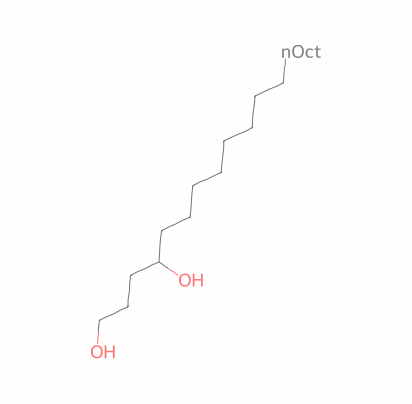 CCCCCCCCCCCCCCCCC(O)CCCO